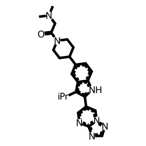 CC(C)c1c(-c2cnc3ncnn3c2)[nH]c2ccc(C3CCN(C(=O)CN(C)C)CC3)cc12